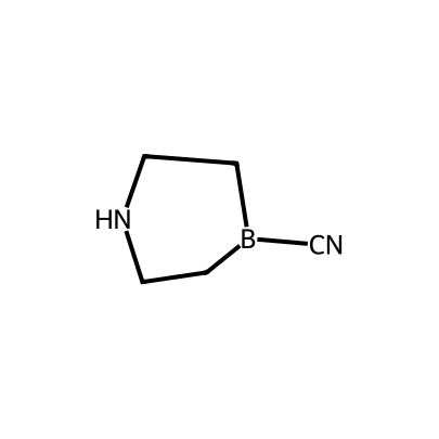 N#CB1CCNCC1